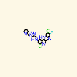 N#Cc1cnc2c(Cl)cc(NCc3cn(Cc4ccccn4)nn3)cc2c1Nc1ccc(F)c(Cl)c1